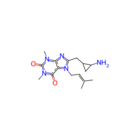 CC(C)=CCn1c(CC2CC2N)nc2c1c(=O)n(C)c(=O)n2C